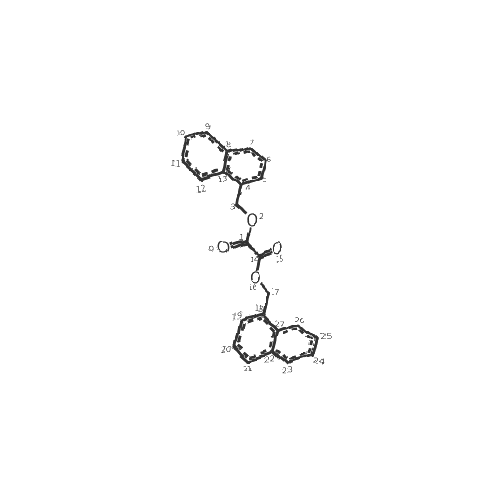 O=C(OCc1cccc2ccccc12)C(=O)OCc1cccc2ccccc12